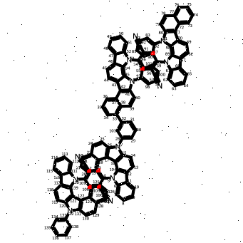 N#Cc1cc(-n2c3ccccc3c3ccc4c(c5c6ccccc6ccc5n4-c4cccc(-c5cccc6c5ccc5c6c6ccc7c8ccccc8n(-c8cc(C#N)c(-n9c%10ccccc%10c%10ccc%11c%12c%13ccccc%13ccc%12n(-c%12ccccc%12)c%11c%109)cc8C#N)c7c6n5-c5ccccc5)c4)c32)c(C#N)cc1-n1c2ccccc2c2ccc3c(c4c5ccccc5ccc4n3-c3ccccc3)c21